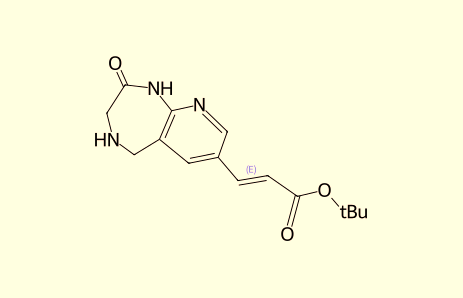 CC(C)(C)OC(=O)/C=C/c1cnc2c(c1)CNCC(=O)N2